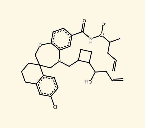 C=CCC(O)C1CCC1CN1CC2(CCCc3cc(Cl)ccc32)COc2ccc(C(=O)N[S+]([O-])C(C)CC=C)cc21